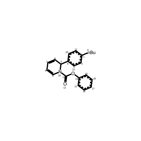 CCCCc1ccc(C2C=CC=CN2C(=O)Oc2ccccc2)cc1